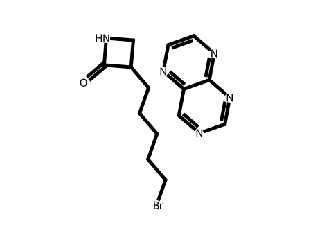 O=C1NCC1CCCCCBr.c1cnc2ncncc2n1